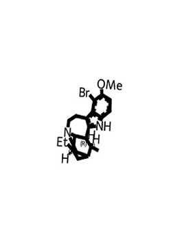 CC[C@H]1CC2CN3CCc4c([nH]c5ccc(OC)c(Br)c45)[C@@H](C13)[C@@H]2C